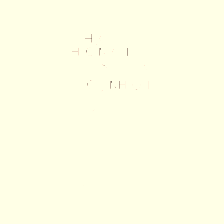 C[N+](C)(C)C[C@@H](CC(=O)O)NC(=O)c1ccc(CCc2ccccc2)cc1